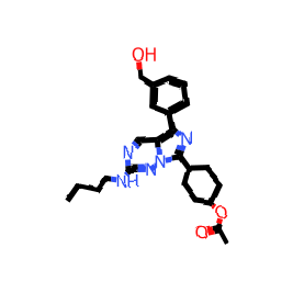 CCCCNc1ncc2c(-c3cccc(CO)c3)nc(C3CCC(OC(C)=O)CC3)n2n1